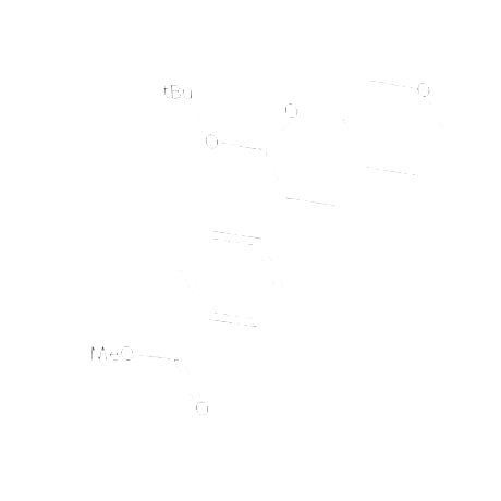 COC(=O)c1ccc(C(CC2CCOCC2)C(=O)OC(C)(C)C)cc1